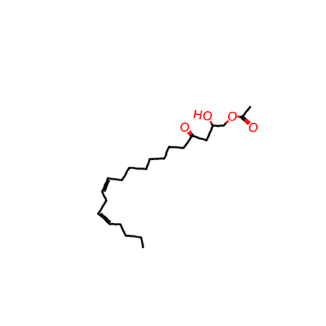 CCCC/C=C\C/C=C\CCCCCCCC(=O)CC(O)COC(C)=O